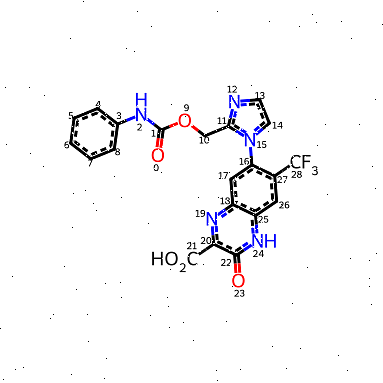 O=C(Nc1ccccc1)OCc1nccn1-c1cc2nc(C(=O)O)c(=O)[nH]c2cc1C(F)(F)F